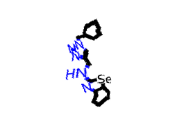 c1ccc(Cn2cc(CNc3nc4ccccc4[se]3)nn2)cc1